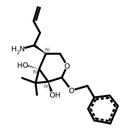 C=CCC(N)[C@H]1COC(OCc2ccccc2)[C@]2(O)C(C)(C)[C@@]12O